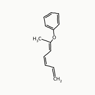 C=C/C=C\C=C(/C)Oc1ccccc1